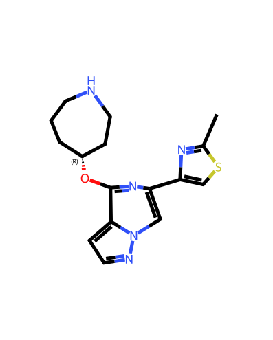 Cc1nc(-c2cn3nccc3c(O[C@@H]3CCCNCC3)n2)cs1